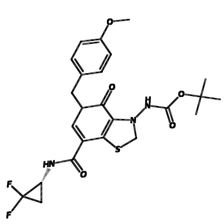 COc1ccc(CC2C=C(C(=O)N[C@@H]3CC3(F)F)C3=C(C2=O)N(NC(=O)OC(C)(C)C)CS3)cc1